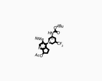 CNc1cnc2c(c1N1CC(C(F)(F)F)C[C@H](NC(=O)OC(C)(C)C)C1)CCC2OC(C)=O